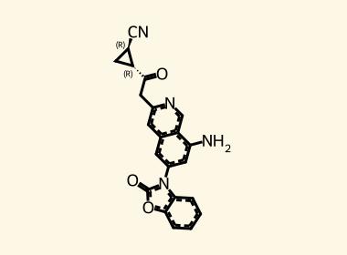 N#C[C@@H]1C[C@H]1C(=O)Cc1cc2cc(-n3c(=O)oc4ccccc43)cc(N)c2cn1